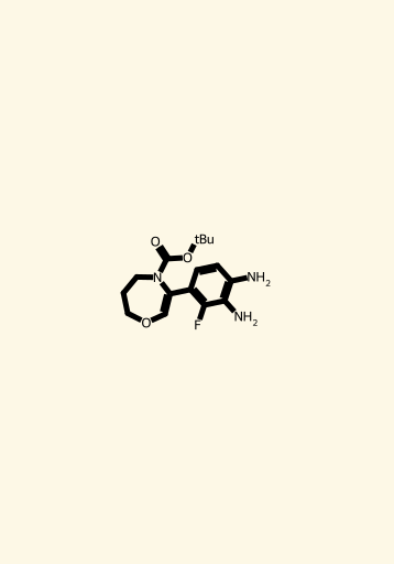 CC(C)(C)OC(=O)N1CCCOC=C1c1ccc(N)c(N)c1F